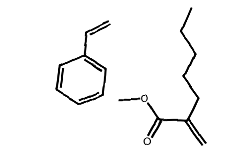 C=C(CCCCC)C(=O)OC.C=Cc1ccccc1